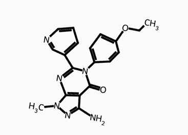 CCOc1ccc(-n2c(-c3cccnc3)nc3c(c(N)nn3C)c2=O)cc1